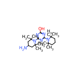 CC1(C)CCCC(C)(C)N1c1nc(O)nc(N2C(C)(C)CC(N)CC2(C)C)n1